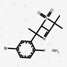 CC1(c2cc(Br)ccc2F)N=C2C1S(=O)(=O)C2(C)C.N